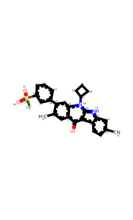 Cc1cc2c(=O)c3c4ccc(C#N)cc4[nH]c3n(C3CCC3)c2cc1-c1cccc(S(=O)(=O)F)c1